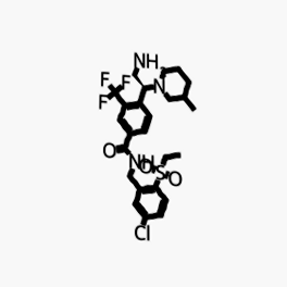 CCS(=O)(=O)c1ccc(Cl)cc1CNC(=O)c1ccc([C@@H](CN)N2CCCC(C)C2)c(C(F)(F)F)c1